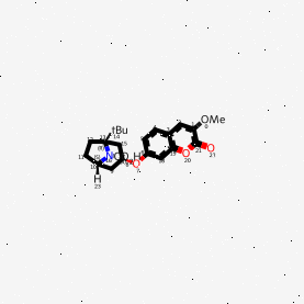 COc1cc2ccc(O[C@H]3C[C@@H]4CC[C@](C(C)(C)C)(C3)N4C(=O)O)cc2oc1=O